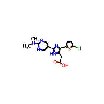 CN(C)c1ncc(-c2nc(-c3ccc(Cl)s3)c(CC(=O)O)[nH]2)cn1